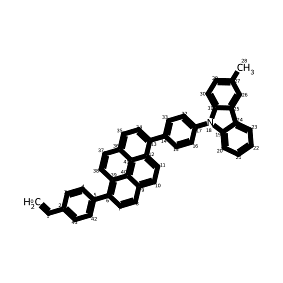 C=Cc1ccc(-c2ccc3ccc4c(-c5ccc(-n6c7ccccc7c7cc(C)ccc76)cc5)ccc5ccc2c3c54)cc1